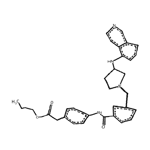 CCCOC(=O)Cc1ccc(NC(=O)c2cccc(CN3CCC(Nc4cccc5cnccc45)C3)c2)cc1